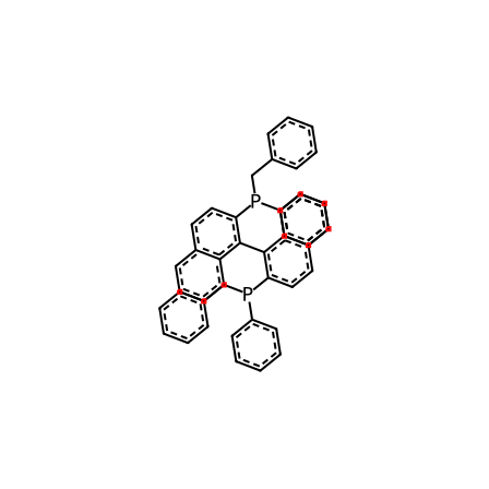 c1ccc(CP(c2ccccc2)c2ccc3ccccc3c2-c2c(P(Cc3ccccc3)c3ccccc3)ccc3ccccc23)cc1